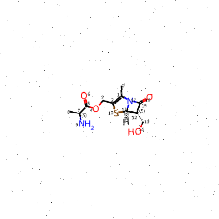 CC1=C(COC(=O)[C@H](C)N)S[C@@H]2[C@@H](CO)C(=O)N12